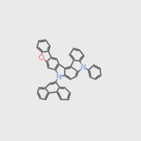 c1ccc(-n2c3ccccc3c3c4c5cc6c(cc5n(-c5cc7ccccc7c7ccccc57)c4ccc32)oc2ccccc26)cc1